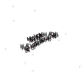 CC(C)(C)c1cc(CCC(=O)OCC(O)COCC(COCC(O)COCC(COCC(O)COC(=O)CCc2cc(-n3nc4ccccc4n3)c(O)c(C(C)(C)C)c2)OC(=O)CCc2cc(-n3nc4ccccc4n3)c(O)c(C(C)(C)C)c2)OC(=O)CCc2cc(-n3nc4ccccc4n3)c(O)c(C(C)(C)C)c2)cc(-n2nc3ccccc3n2)c1O